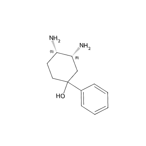 N[C@@H]1CC(O)(c2ccccc2)CC[C@@H]1N